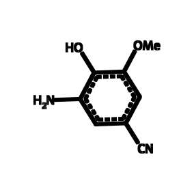 COc1cc(C#N)cc(N)c1O